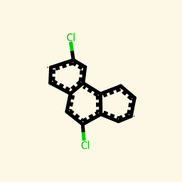 Clc1[c]cc2cc(Cl)c3c[c]ccc3c2c1